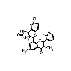 Cc1cc([C@@H](C)Oc2ccc(Cl)nc2-c2noc(=O)[nH]2)c2oc(-c3cccnc3F)c(C)c(=O)c2c1